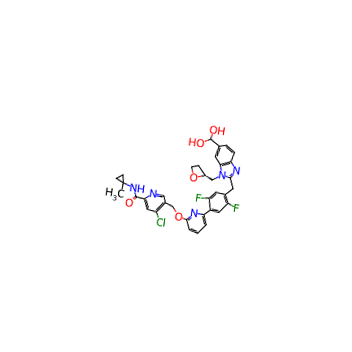 CC1(NC(=O)c2cc(Cl)c(COc3cccc(-c4cc(F)c(Cc5nc6ccc(C(O)O)cc6n5C[C@@H]5CCO5)cc4F)n3)cn2)CC1